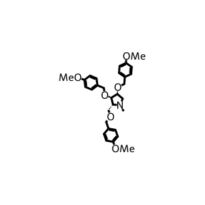 COc1ccc(COC[C@@H]2[C@@H](OCc3ccc(OC)cc3)[C@H](OCc3ccc(OC)cc3)CN2C)cc1